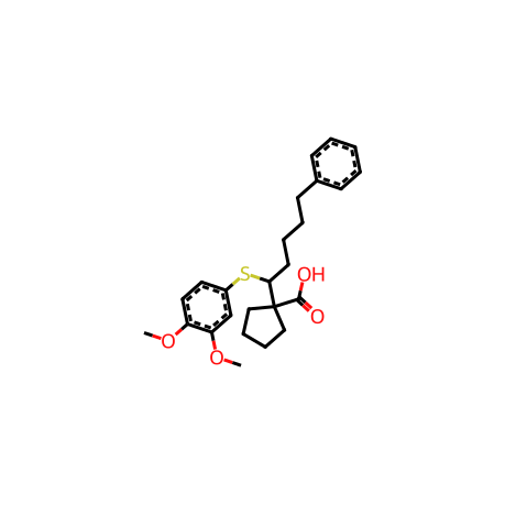 COc1ccc(SC(CCCCc2ccccc2)C2(C(=O)O)CCCC2)cc1OC